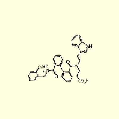 COc1ccccc1CNC(=O)c1ccccc1-c1ccccc1C(=O)N(CCC(=O)O)CCc1c[nH]c2ccccc12